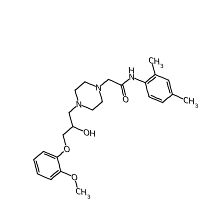 COc1ccccc1OCC(O)CN1CCN(CC(=O)Nc2ccc(C)cc2C)CC1